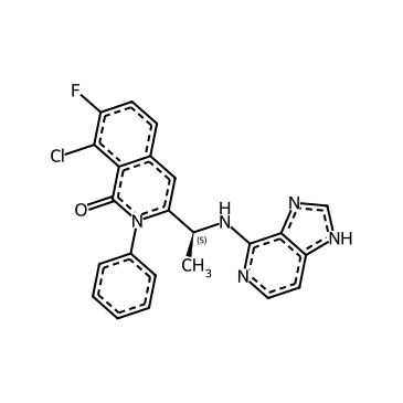 C[C@H](Nc1nccc2[nH]cnc12)c1cc2ccc(F)c(Cl)c2c(=O)n1-c1ccccc1